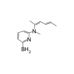 Bc1cccc(N(C)/C(C)=C\C=C\C)n1